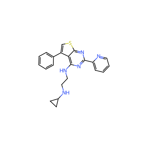 c1ccc(-c2csc3nc(-c4ccccn4)nc(NCCNC4CC4)c23)cc1